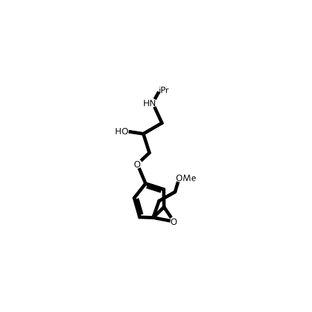 COCCC12C=CC(OCC(O)CNC(C)C)=CC1O2